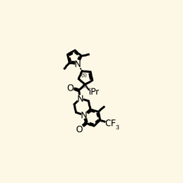 Cc1c(C(F)(F)F)cc(=O)n2c1CN(C(=O)[C@@]1(C(C)C)C=C[C@@H](n3c(C)ccc3C)C1)CC2